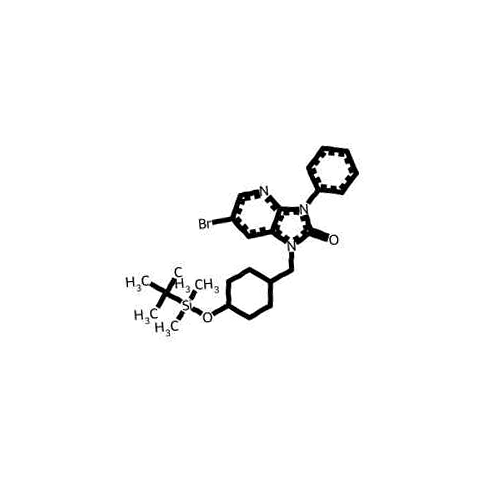 CC(C)(C)[Si](C)(C)OC1CCC(Cn2c(=O)n(-c3ccccc3)c3ncc(Br)cc32)CC1